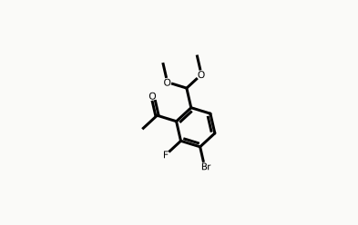 COC(OC)c1ccc(Br)c(F)c1C(C)=O